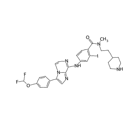 CN(CCC1CCNCC1)C(=O)c1ccc(Nc2nccn3c(-c4ccc(OC(F)F)cc4)cnc23)cc1I